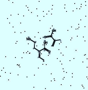 C=C(C)C(=O)O.CC=C(CCO)C(=O)O